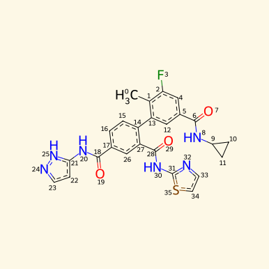 Cc1c(F)cc(C(=O)NC2CC2)cc1-c1ccc(C(=O)Nc2ccn[nH]2)cc1C(=O)Nc1nccs1